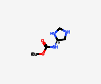 CC(C)(C)OC(=O)N[C@H]1CNCN1